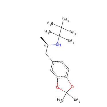 BC1(B)Oc2ccc(C[C@@H](C)NC(B)(B)C(B)(B)B)cc2O1